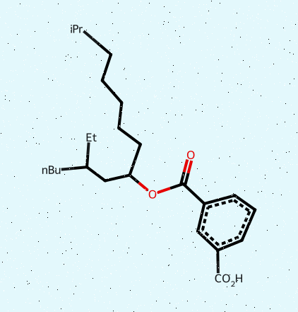 CCCCC(CC)CC(CCCCCC(C)C)OC(=O)c1cccc(C(=O)O)c1